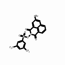 CCCCc1cc2c3c(cccc3c1)C(=O)N(OS(=O)(=O)c1cc(C(F)(F)F)cc(C(F)(F)F)c1)C2=O